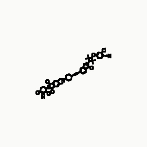 CC1(C)[C@H](Oc2ccc(C#N)c(Cl)c2)C(C)(C)[C@H]1N1Cc2cc(C#CC3CCC(N4Cc5cc6c(cc5C4)C(=O)N(C4CCC(=O)NC4=O)C6=O)CC3)ccc2C1=O